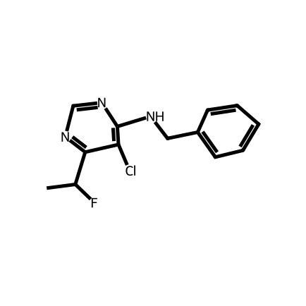 CC(F)c1ncnc(NCc2ccccc2)c1Cl